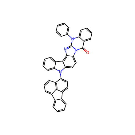 O=c1c2ccccc2n(-c2ccccc2)c2nc3c4c5ccccc5n(-c5ccc6c7c(cccc57)-c5ccccc5-6)c4ccc3n12